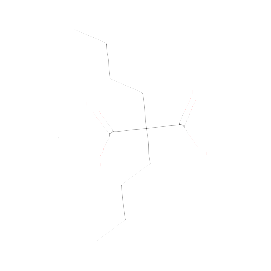 CCCCC(CCCC)(C(=O)[O-])C(=O)[O-].[Ca+2]